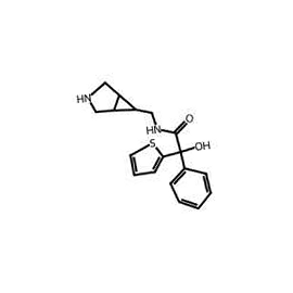 O=C(NCC1C2CNCC21)C(O)(c1ccccc1)c1cccs1